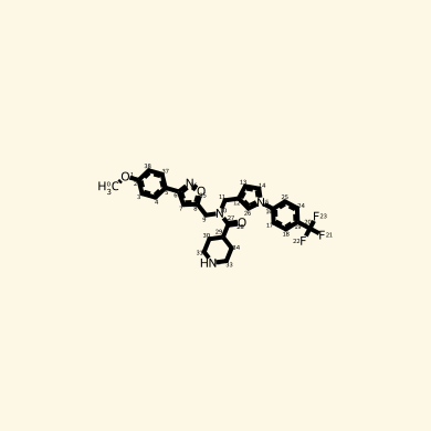 COc1ccc(-c2cc(CN(Cc3ccn(-c4ccc(C(F)(F)F)cc4)c3)C(=O)C3CCNCC3)on2)cc1